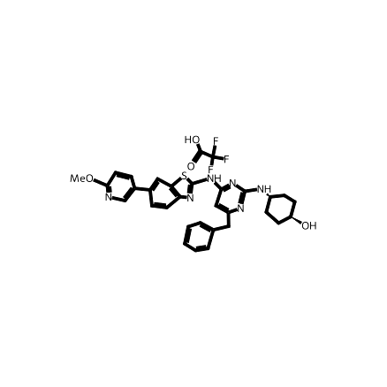 COc1ccc(-c2ccc3nc(Nc4cc(Cc5ccccc5)nc(N[C@H]5CC[C@H](O)CC5)n4)sc3c2)cn1.O=C(O)C(F)(F)F